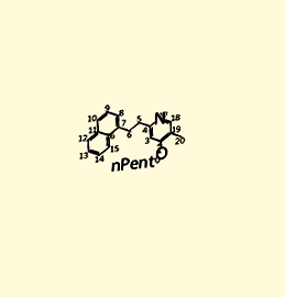 CCCCCOc1cc(CCc2cccc3ccccc23)ncc1C